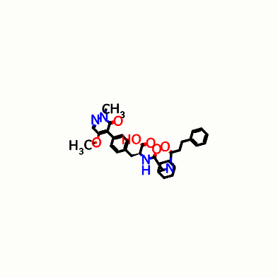 COc1cnn(C)c(=O)c1-c1ccc(C[C@H](NC(=O)C2C3CCC(CC3)N2C(=O)CCc2ccccc2)C(=O)O)cc1